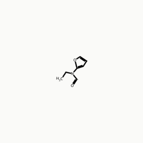 CCN([C]=O)c1ccco1